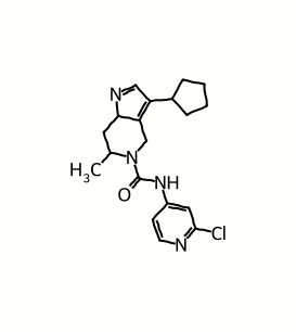 CC1CC2N=CC(C3CCCC3)=C2CN1C(=O)Nc1ccnc(Cl)c1